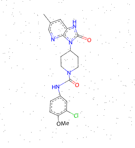 COc1ccc(NC(=O)N2CCC(n3c(=O)[nH]c4cc(C)cnc43)CC2)cc1Cl